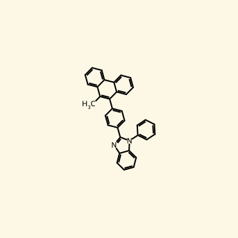 Cc1c(-c2ccc(-c3nc4ccccc4n3-c3ccccc3)cc2)c2ccccc2c2ccccc12